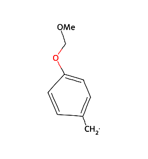 [CH2]c1ccc(OCOC)cc1